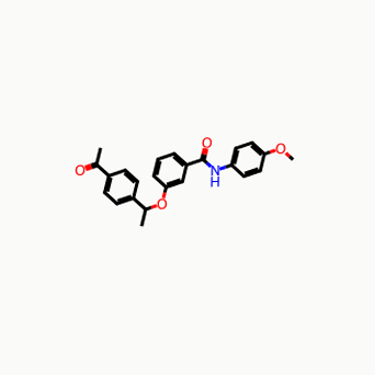 COc1ccc(NC(=O)c2cccc(OC(C)c3ccc(C(C)=O)cc3)c2)cc1